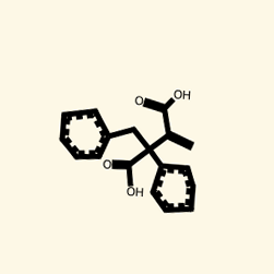 C=C(C(=O)O)C(Cc1ccccc1)(C(=O)O)c1ccccc1